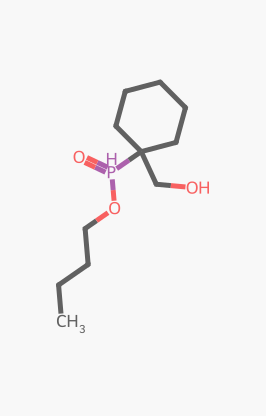 CCCCO[PH](=O)C1(CO)CCCCC1